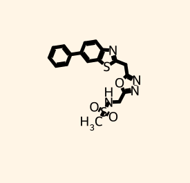 CS(=O)(=O)NCc1nnc(Cc2nc3ccc(-c4ccccc4)cc3s2)o1